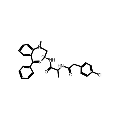 CC(NC(=O)Cc1ccc(Cl)cc1)C(=O)N[C@@H]1CN(C)c2ccccc2C(c2ccccc2)=N1